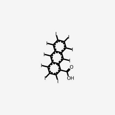 O=C(O)c1c(I)c(I)c(I)c2c(I)c3c(I)c(I)c(I)c(I)c3c(I)c12